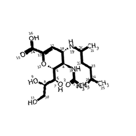 CC(=O)N[C@H]1[C@H]([C@H](O)[C@H](O)CO)OC(C(=O)O)=C[C@@H]1NC(C)CCC(C)C